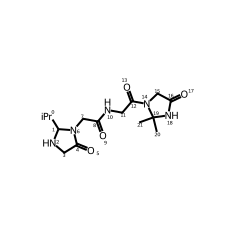 CC(C)C1NCC(=O)N1CC(=O)NCC(=O)N1CC(=O)NC1(C)C